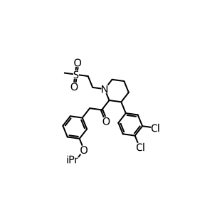 CC(C)Oc1cccc(CC(=O)C2C(c3ccc(Cl)c(Cl)c3)CCCN2CCS(C)(=O)=O)c1